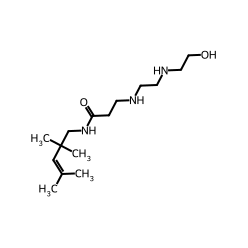 CC(C)=CC(C)(C)CNC(=O)CCNCCNCCO